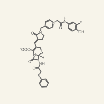 O=C(C[n+]1ccc(CN2CC/C(=C\C3=C(C(=O)[O-])N4C(=O)[C@@H](NC(=O)CSc5ccccc5)[C@H]4SC3)C2=O)cc1)Nc1ccc(O)c(F)c1